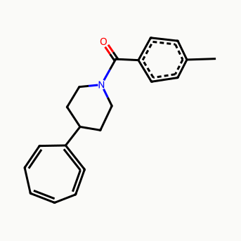 Cc1ccc(C(=O)N2CCC(C3=C=CC=CC=C3)CC2)cc1